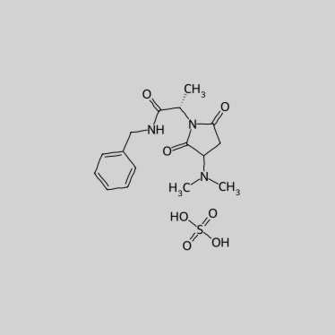 C[C@@H](C(=O)NCc1ccccc1)N1C(=O)CC(N(C)C)C1=O.O=S(=O)(O)O